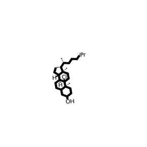 CC(C)CCC[C@@H](C)[C@H]1CC[C@H]2[C@@H]3CCC4CC(O)CC[C@]4(C)[C@@]3(Cl)CC[C@]12C